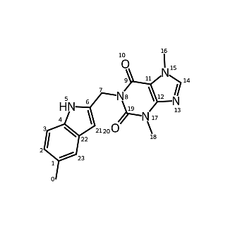 Cc1ccc2[nH]c(Cn3c(=O)c4c(ncn4C)n(C)c3=O)cc2c1